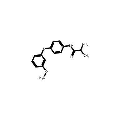 COc1cccc(Sc2ccc(NC(=O)C(C)N)cc2)c1